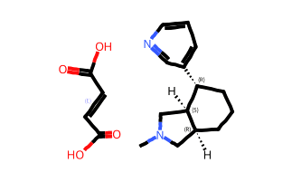 CN1C[C@@H]2CCC[C@@H](c3cccnc3)[C@@H]2C1.O=C(O)/C=C/C(=O)O